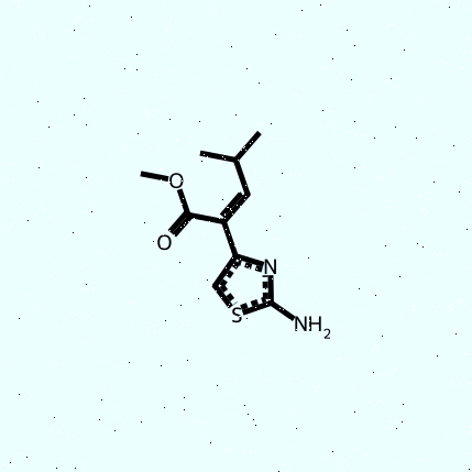 COC(=O)C(=CC(C)C)c1csc(N)n1